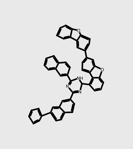 c1ccc(-c2ccc3ccc(C4=NC(c5cccc6oc7cc(-c8ccc9oc%10ccccc%10c9c8)ccc7c56)NC(c5ccc6ccccc6c5)=N4)cc3c2)cc1